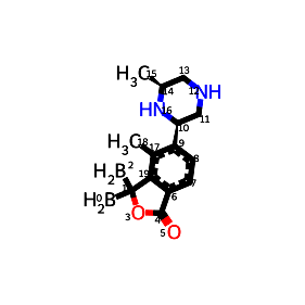 BC1(B)OC(=O)c2ccc([C@@H]3CNC[C@H](C)N3)c(C)c21